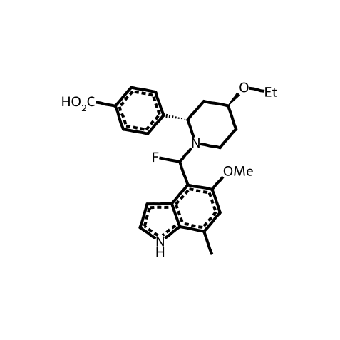 CCO[C@H]1CCN(C(F)c2c(OC)cc(C)c3[nH]ccc23)[C@H](c2ccc(C(=O)O)cc2)C1